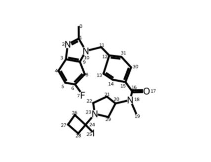 Cc1nc2ccc(F)cc2n1Cc1ccc(C(=O)N(C)C2CCN(C3(I)CCC3)C2)cc1